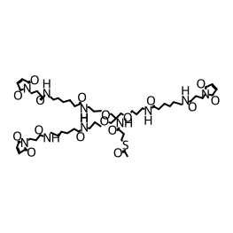 CC(=O)SCCC(=O)NC(COCCCNC(=O)CCCCCNC(=O)CCN1C(=O)C=CC1=O)(COCCCNC(=O)CCCCCNC(=O)CCN1C(=O)C=CC1=O)COCCCNC(=O)CCCCCNC(=O)CCN1C(=O)C=CC1=O